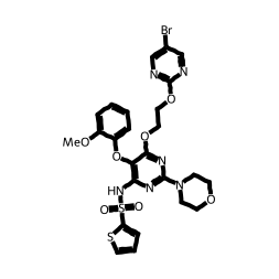 COc1ccccc1Oc1c(NS(=O)(=O)c2cccs2)nc(N2CCOCC2)nc1OCCOc1ncc(Br)cn1